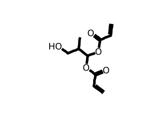 C=CC(=O)OC(OC(=O)C=C)C(C)CO